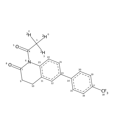 [2H]C([2H])([2H])C(=O)N1C(=O)CCc2cc(-c3ccc(C(F)(F)F)cc3)ccc21